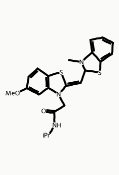 COc1ccc2c(c1)N(CC(=O)NC(C)C)/C(=C/C1Sc3ccccc3N1C)S2